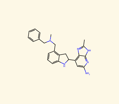 Cc1nc2c(C3Cc4c(CN(C)Cc5ccccc5)cccc4N3)cc(N)nc2[nH]1